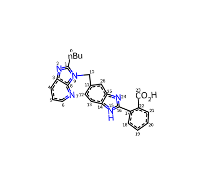 CCCCc1nc2cccnc2n1Cc1ccc2[nH]c(-c3ccccc3C(=O)O)nc2c1